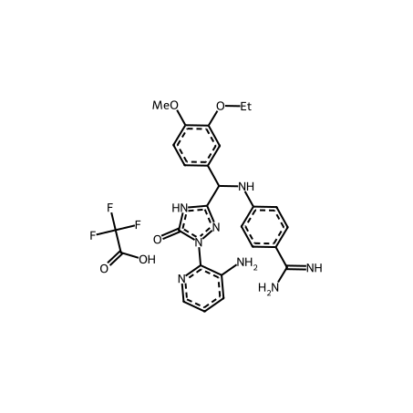 CCOc1cc(C(Nc2ccc(C(=N)N)cc2)c2nn(-c3ncccc3N)c(=O)[nH]2)ccc1OC.O=C(O)C(F)(F)F